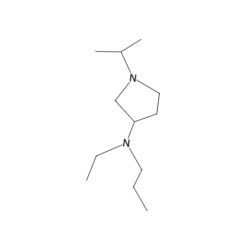 CCCN(CC)C1CCN(C(C)C)C1